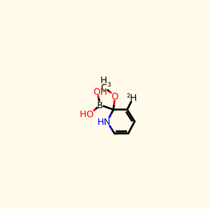 [2H]C1=CC=CNC1(OC)B(O)O